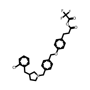 O=C(CCc1ccc(OCc2ccc(CN3CCC(Cc4ccccc4Cl)C3)cc2)cc1)OC(=O)C(F)(F)F